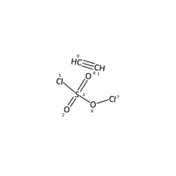 C#C.O=S(=O)(Cl)OCl